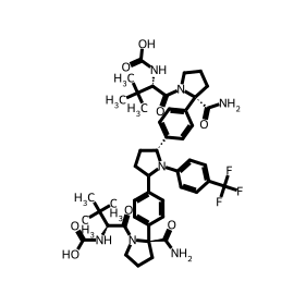 CC(C)(C)[C@H](NC(=O)O)C(=O)N1CCC[C@@]1(C(N)=O)c1ccc(C2CC[C@H](c3ccc([C@]4(C(N)=O)CCCN4C(=O)[C@@H](NC(=O)O)C(C)(C)C)cc3)N2c2ccc(C(F)(F)F)cc2)cc1